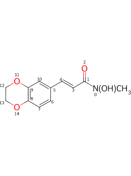 CN(O)C(=O)C=Cc1ccc2c(c1)OCCO2